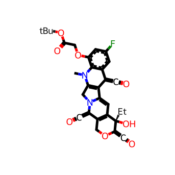 CC[C@@]1(O)C(=C=O)OCC2=C1C=C1C3=C(CN1C2=C=O)N(C)c1c(OCC(=O)OC(C)(C)C)cc(F)cc1C3=C=O